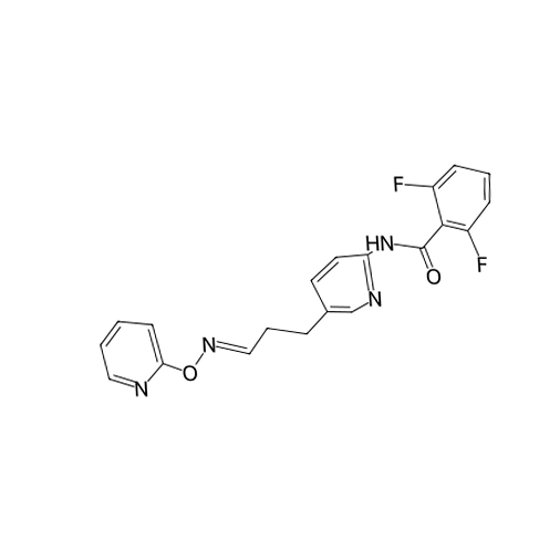 O=C(Nc1ccc(CC/C=N/Oc2ccccn2)cn1)c1c(F)cccc1F